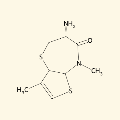 CC1=CSC2C1SC[C@H](N)C(=O)N2C